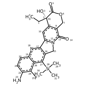 CC[C@@]1(O)C(=O)OCc2c1cc1n(c2=O)Cc2c-1nc1ccc(N)c(F)c1c2[Si](C)(C)C